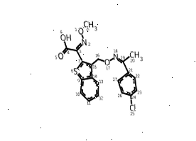 CON=C(C(=O)O)c1sc2ccccc2c1CON=C(C)c1ccc(Cl)cc1